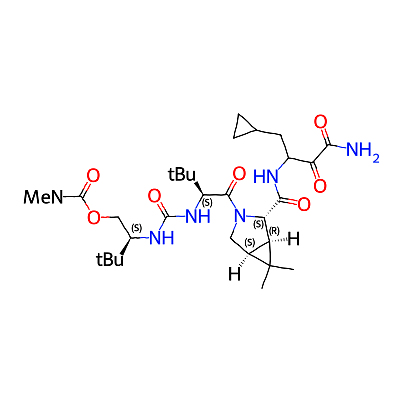 CNC(=O)OC[C@@H](NC(=O)N[C@H](C(=O)N1C[C@H]2[C@@H]([C@H]1C(=O)NC(CC1CC1)C(=O)C(N)=O)C2(C)C)C(C)(C)C)C(C)(C)C